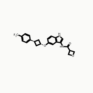 O=C(Nc1c[nH]c2ccc(O[C@H]3C[C@H](c4ccc(C(F)(F)F)cc4)C3)cc12)C1COC1